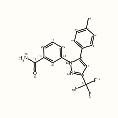 Cc1ccc(-c2cc(C(F)(F)F)nn2-c2cccc(C(N)=O)c2)cc1